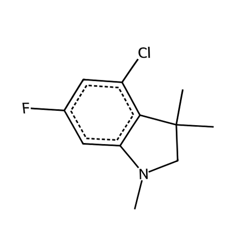 CN1CC(C)(C)c2c(Cl)cc(F)cc21